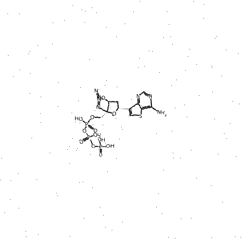 [N-]=[N+]=N[C@]1(COP(=O)(O)OP(=O)(O)OP(=O)(O)O)O[C@@H](c2csc3c(N)ncnc23)C[C@@H]1O